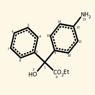 CCOC(=O)C(O)(c1ccccc1)c1ccc(N)cc1